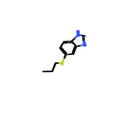 CCCSc1ccc2[nH][c]nc2c1